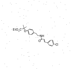 CCOC(=O)C(C)(C)Oc1ccc(CCNC(=O)C=Cc2ccc(Cl)cc2)cc1